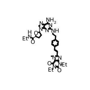 CCNC(=O)[C@@H]1CC[C@H](n2cnc3c(N)nc(NCCc4ccc(/C=C/c5nc6c(c(=O)n(CC)c(=O)n6CC)n5C)cc4)nc32)O1